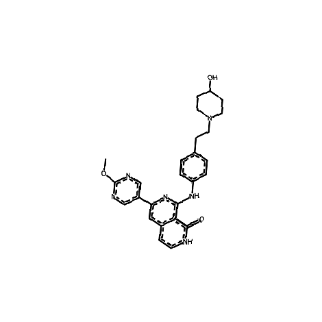 COc1ncc(-c2cc3cc[nH]c(=O)c3c(Nc3ccc(CCN4CCC(O)CC4)cc3)n2)cn1